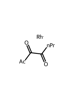 CCCC(=O)C(=O)C(C)=O.[Rh]